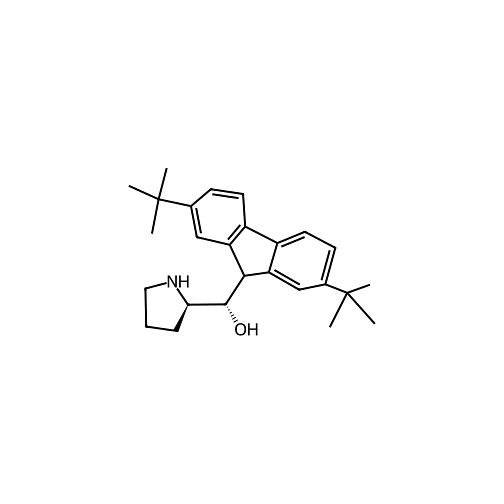 CC(C)(C)c1ccc2c(c1)C([C@H](O)[C@H]1CCCN1)c1cc(C(C)(C)C)ccc1-2